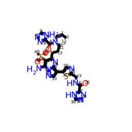 C/C=C\N(C(=O)c1nnc[nH]1)[C@H](C)CCc1nc2c(-c3cnc(CNC(=O)c4nnc[nH]4)s3)cnn2c(N)c1S(C)(=O)=O